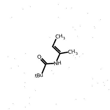 CC=C(C)NC(=O)C(C)(C)C